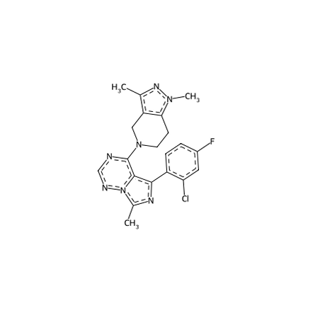 Cc1nn(C)c2c1CN(c1ncnn3c(C)nc(-c4ccc(F)cc4Cl)c13)CC2